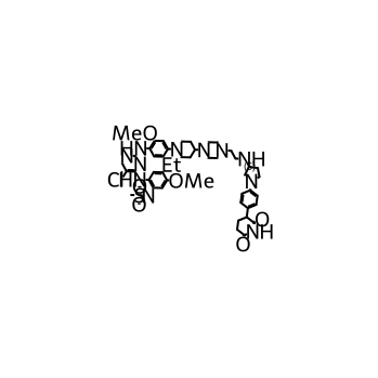 CCc1cc(Nc2ncc(Cl)c(Nc3ccc(OC)cc3N(C)S(C)(=O)=O)n2)c(OC)cc1N1CCC(N2CCN(CCN[C@H]3CCN(c4ccc(C5CCC(=O)NC5=O)cc4)C3)CC2)CC1